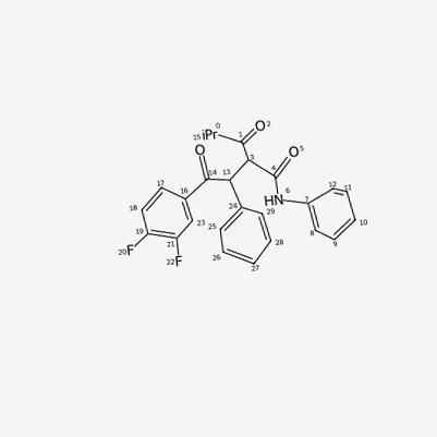 CC(C)C(=O)C(C(=O)Nc1ccccc1)C(C(=O)c1ccc(F)c(F)c1)c1ccccc1